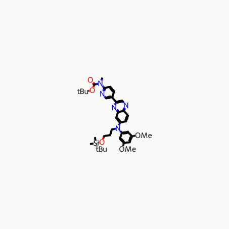 COc1cc(OC)cc(N(CCCO[Si](C)(C)C(C)(C)C)c2ccc3ncc(-c4ccc(N(C)C(=O)OC(C)(C)C)nc4)nc3c2)c1